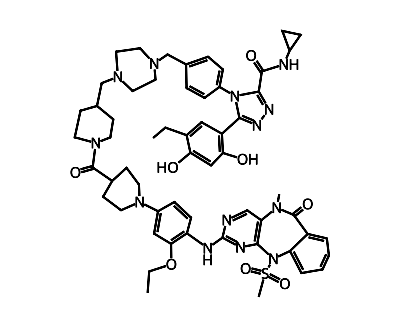 CCOc1cc(N2CCC(C(=O)N3CCC(CN4CCN(Cc5ccc(-n6c(C(=O)NC7CC7)nnc6-c6cc(CC)c(O)cc6O)cc5)CC4)CC3)CC2)ccc1Nc1ncc2c(n1)N(S(C)(=O)=O)c1ccccc1C(=O)N2C